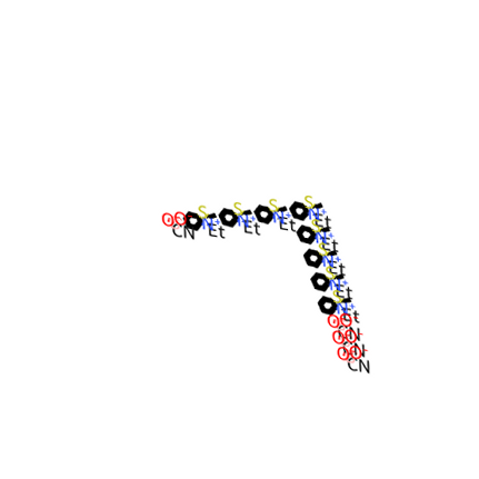 CC[n+]1c(C)sc2ccccc21.CC[n+]1c(C)sc2ccccc21.CC[n+]1c(C)sc2ccccc21.CC[n+]1c(C)sc2ccccc21.CC[n+]1c(C)sc2ccccc21.CC[n+]1c(C)sc2ccccc21.CC[n+]1c(C)sc2ccccc21.CC[n+]1c(C)sc2ccccc21.N#CB([O-])[O-].N#CB([O-])[O-].N#CB([O-])[O-].N#CB([O-])[O-]